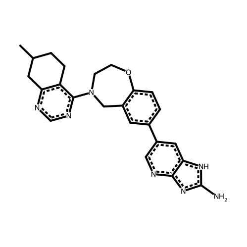 CC1CCc2c(ncnc2N2CCOc3ccc(-c4cnc5nc(N)[nH]c5c4)cc3C2)C1